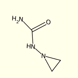 NC(=O)NN1CC1